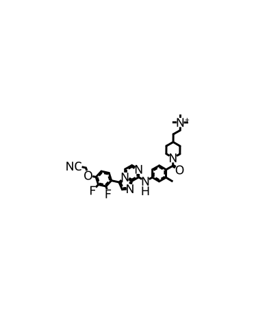 Cc1cc(Nc2nccn3c(-c4ccc(OCC#N)c(F)c4F)cnc23)ccc1C(=O)N1CCC(CC[N+](C)(C)C)CC1